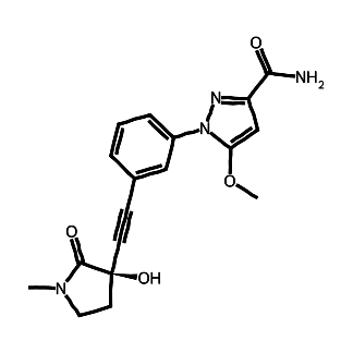 COc1cc(C(N)=O)nn1-c1cccc(C#C[C@]2(O)CCN(C)C2=O)c1